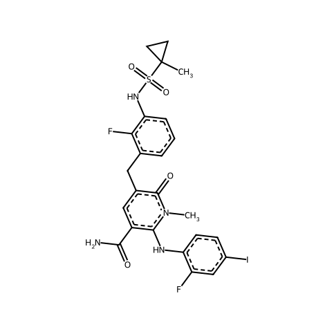 Cn1c(Nc2ccc(I)cc2F)c(C(N)=O)cc(Cc2cccc(NS(=O)(=O)C3(C)CC3)c2F)c1=O